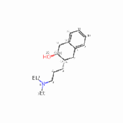 CCN(CC)CCC[C@H]1Cc2ccccc2C[C@@H]1O